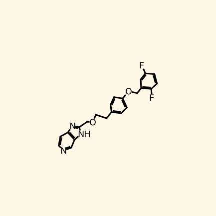 Fc1ccc(F)c(COc2ccc(CCOCc3nc4ccncc4[nH]3)cc2)c1